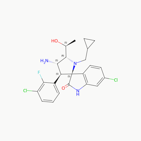 C[C@H](O)[C@H]1[C@@H](N)[C@H](c2cccc(Cl)c2F)[C@]2(C(=O)Nc3cc(Cl)ccc32)N1CC1CC1